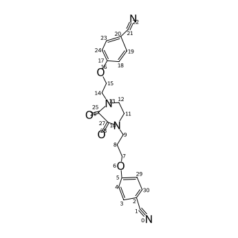 N#Cc1ccc(OCCCN2CCN(CCOc3ccc(C#N)cc3)C(=O)C2=O)cc1